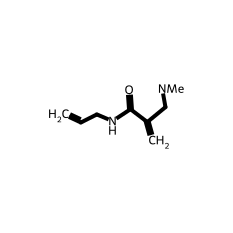 C=CCNC(=O)C(=C)CNC